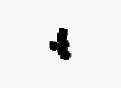 O=S(=O)(CCn1ccnc1)N(Cc1ccc(-c2nnc(C(F)F)o2)cc1)c1ccccc1